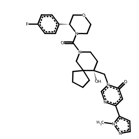 Cn1nccc1-c1cc(=O)n(C[C@]2(O)CCN(C(=O)N3CCOC[C@H]3c3ccc(F)cc3)CC23CCCC3)cn1